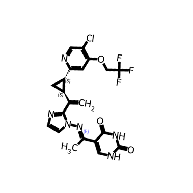 C=C(c1nccn1/N=C(\C)c1c[nH]c(=O)[nH]c1=O)[C@H]1C[C@@H]1c1cc(OCC(F)(F)F)c(Cl)cn1